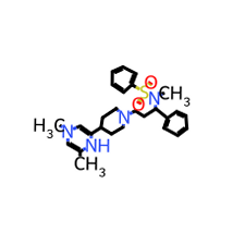 CC1=CN(C)C=C(C2CCN(CCC(c3ccccc3)N(C)S(=O)(=O)c3ccccc3)CC2)N1